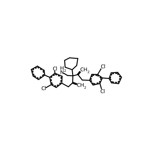 C=C(Cc1cc(Cl)c(-c2ccccc2)c(Cl)c1)C(CN)(C(=C)Cc1cc(Cl)c(-c2ccccc2)c(Cl)c1)C1CCCCC1